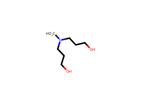 O=C(O)N(CCCO)CCCO